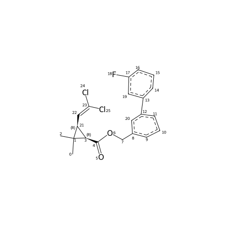 CC1(C)[C@H](C(=O)OCc2cccc(-c3cccc(F)c3)c2)[C@@H]1C=C(Cl)Cl